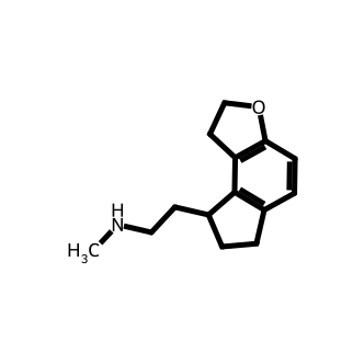 CNCCC1CCc2ccc3c(c21)CCO3